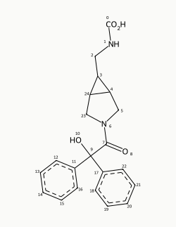 O=C(O)NCC1C2CN(C(=O)C(O)(c3ccccc3)c3ccccc3)CC12